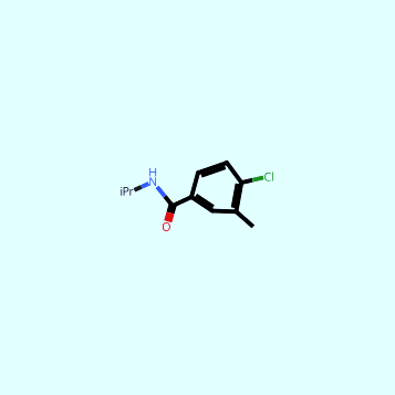 Cc1cc(C(=O)NC(C)C)ccc1Cl